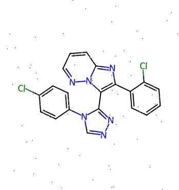 Clc1ccc(-n2cnnc2-c2c(-c3ccccc3Cl)nc3cccnn23)cc1